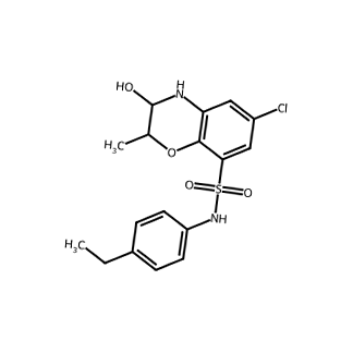 CCc1ccc(NS(=O)(=O)c2cc(Cl)cc3c2OC(C)C(O)N3)cc1